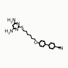 N#Cc1ccc(-c2ccc(OCCCCCCSc3nc(N)cc(N)n3)cc2)cc1